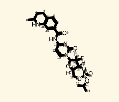 CC1CCc2ccc(C(=O)Nc3ccn(C4O[C@@H]5COP(=O)(OC(C)C)O[C@H]5C4(F)F)c(=O)n3)cc2N1